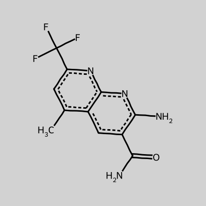 Cc1cc(C(F)(F)F)nc2nc(N)c(C(N)=O)cc12